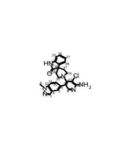 Cn1ncc2cc(-c3cnc(N)c(Cl)c3N3CCC4(CC3)C(=O)Nc3ccccc34)ccc21